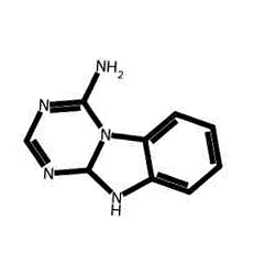 NC1=NC=NC2Nc3ccccc3N12